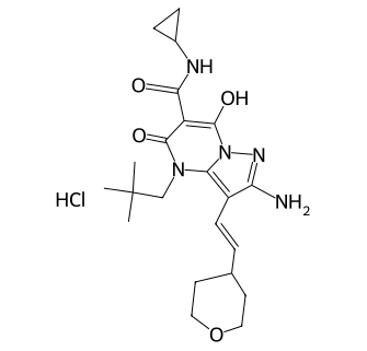 CC(C)(C)Cn1c(=O)c(C(=O)NC2CC2)c(O)n2nc(N)c(C=CC3CCOCC3)c12.Cl